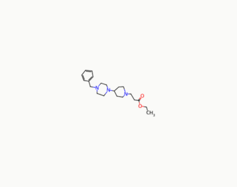 CCOC(=O)CCN1CCC(N2CCN(Cc3ccccc3)CC2)CC1